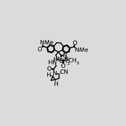 CNC(=O)c1ccc2c(c1)CCc1cc(C(=O)NC)ccc1C2(C[C@@H](C)NCC(=O)N1[C@H](C#N)C[C@@H]2C[C@@H]21)c1nn(C)c(=O)[nH]1